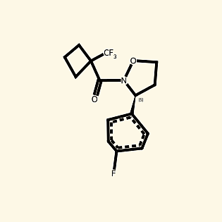 O=C(N1OCC[C@H]1c1ccc(F)cc1)C1(C(F)(F)F)CCC1